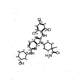 CC1(C(N)=O)CCC(n2c(Nc3c(Cl)cc(Cl)cc3Cl)nc3cnc(N[C@@H]4CCC[C@@H](O)C4)nc32)CC1